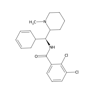 CN1CCCCC1[C@@H](NC(=O)c1cccc(Cl)c1Cl)C1C=CC=CC1